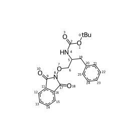 CC(C)(C)OC(=O)NC(CON1C(=O)c2ccccc2C1=O)Cc1ccccc1